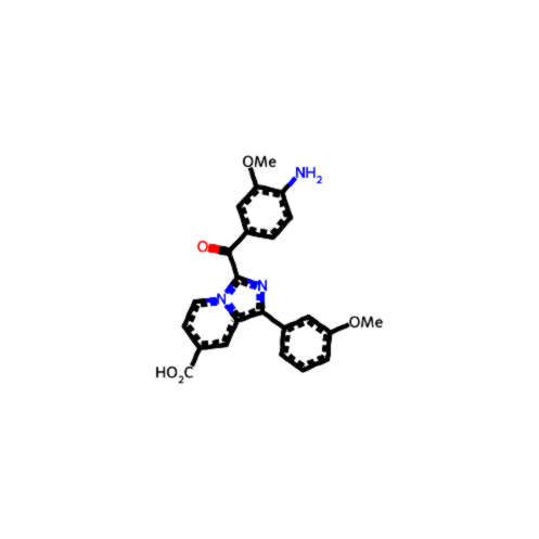 COc1cccc(-c2nc(C(=O)c3ccc(N)c(OC)c3)n3ccc(C(=O)O)cc23)c1